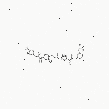 CC(F)(F)Oc1cccc(CNC(=O)c2cn(CC(F)CCn3ccc(NC(=O)Cc4ccc(Cl)nc4)cc3=O)nn2)c1